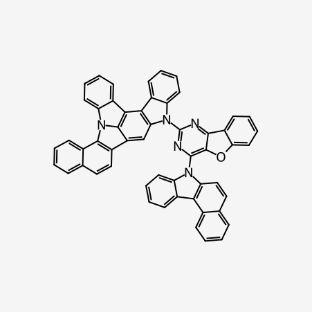 c1ccc2c(c1)ccc1c2c2ccccc2n1-c1nc(-n2c3ccccc3c3c4c5ccccc5n5c6c7ccccc7ccc6c(cc32)c45)nc2c1oc1ccccc12